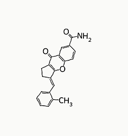 Cc1ccccc1C=C1CCc2c1oc1ccc(C(N)=O)cc1c2=O